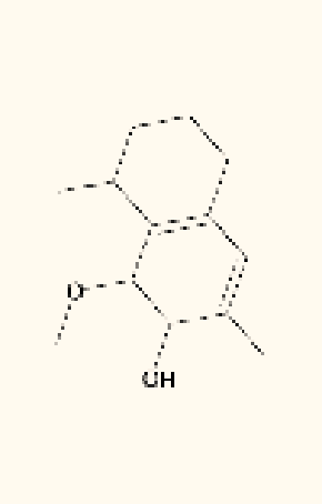 COC1C2=C(C=C(C)C1O)CCCC2C